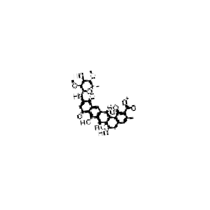 COC(=O)c1c(C)cc2c(c1O)[C@]1(O)C(=O)c3cc4c(c(O)c3C(=O)[C@]1(O)[C@H](O)C2)C(=O)C=C(N[C@@H]1O[C@H](C)[C@@H](OC)[C@H](O)[C@@H]1OC)C4=O